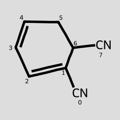 N#CC1=CC=CCC1C#N